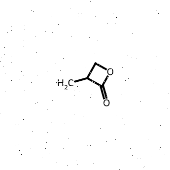 [CH2]C1COC1=O